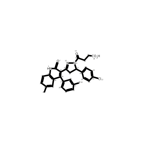 Cc1ccc2[nH]c(=O)c(C3=NN(C(=O)CCC(=O)O)C(c4ccc(Cl)cc4)C3)c(-c3cccc(F)c3)c2c1